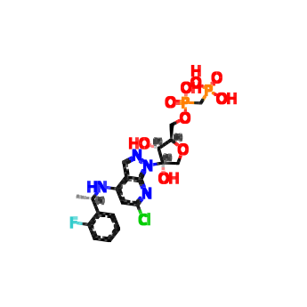 C[C@H](Nc1cc(Cl)nc2c1cnn2[C@]1(O)CO[C@H](COP(=O)(O)CP(=O)(O)O)[C@H]1O)c1ccccc1F